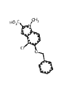 Cn1c(C(=O)O)cc2c(Cl)c(OCc3ccccc3)ccc21